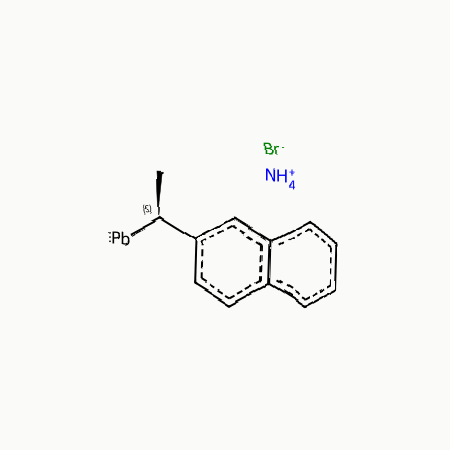 C[C@H]([Pb])c1ccc2ccccc2c1.[Br-].[NH4+]